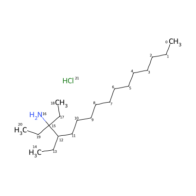 CCCCCCCCCCCCC(CC)C(N)(CC)CC.Cl